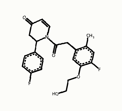 Cc1cc(F)c(OCCO)cc1CC(=O)N1C=CC(=O)CC1c1ccc(F)cc1